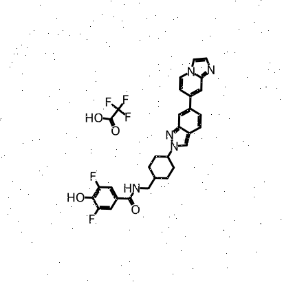 O=C(NCC1CCC(n2cc3ccc(-c4ccn5ccnc5c4)cc3n2)CC1)c1cc(F)c(O)c(F)c1.O=C(O)C(F)(F)F